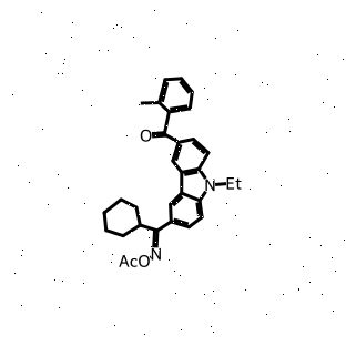 CCn1c2ccc(C(=O)c3ccccc3C)cc2c2cc(/C(=N/OC(C)=O)C3CCCCC3)ccc21